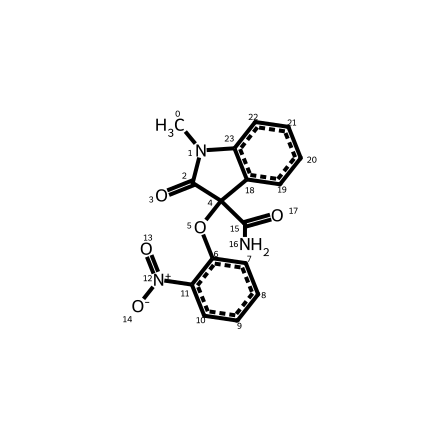 CN1C(=O)C(Oc2ccccc2[N+](=O)[O-])(C(N)=O)c2ccccc21